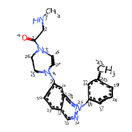 CNCC(=O)N1CCN(c2ccc3cnn(-c4cccc(C)c4)c3c2)CC1